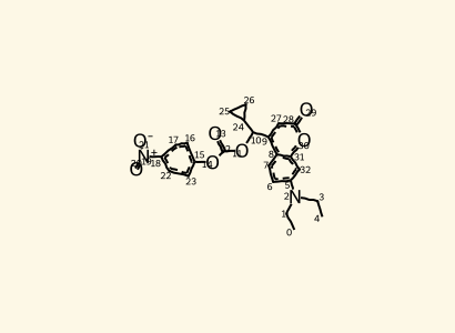 CCN(CC)c1ccc2c(C(OC(=O)Oc3ccc([N+](=O)[O-])cc3)C3CC3)cc(=O)oc2c1